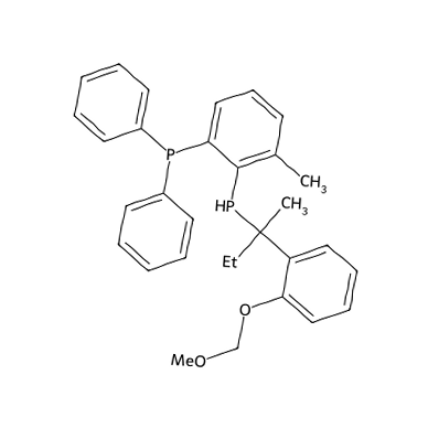 CCC(C)(Pc1c(C)cccc1P(c1ccccc1)c1ccccc1)c1ccccc1OCOC